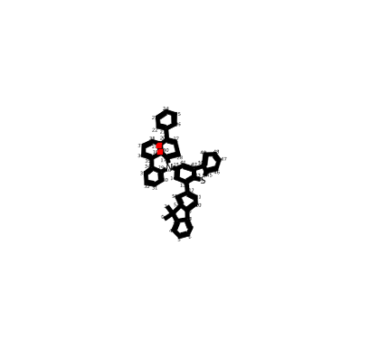 CC1(C)c2ccccc2-c2ccc(-c3cc(N(c4ccc(-c5ccccc5)cc4)c4ccccc4-c4ccccc4)cc4c3sc3ccccc34)cc21